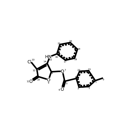 Cc1ccc(C(=O)OC2OC(=O)C(Cl)=C2Nc2ccccc2)cc1